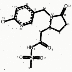 CS(=O)(=O)NC(=O)CC1CCC(=O)N1Cc1ccc(Cl)nc1